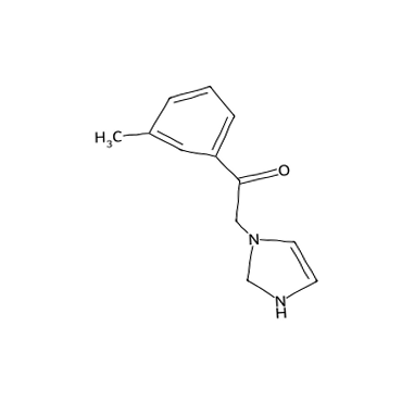 Cc1cccc(C(=O)CN2C=CNC2)c1